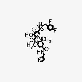 CN1C(=O)c2c(O)c(=O)c(-c3nnc(Cc4ccc(F)cc4F)s3)cn2N(C)C12CCC(C(=O)NCC1=CCN=C1)CC2